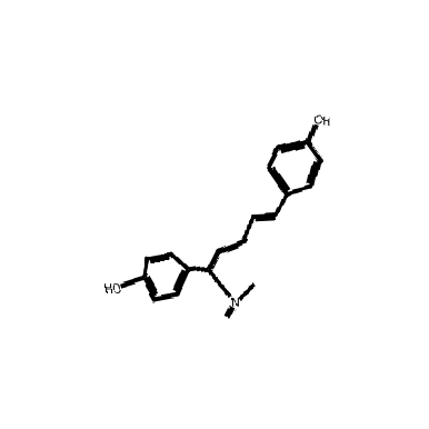 CN(C)C(CCC=Cc1ccc(O)cc1)c1ccc(O)cc1